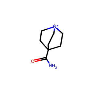 NC(=O)C12CC[N+](CC1)CC2